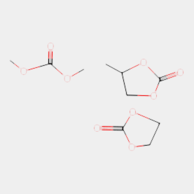 CC1COC(=O)O1.COC(=O)OC.O=C1OCCO1